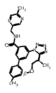 COC[C@H](C)c1nnnn1-c1cc(C(=O)NCc2cnc(C)cn2)cc(-c2ccc(C)cc2)c1